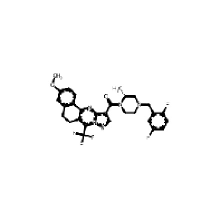 COc1ccc2c(c1)CCc1c-2nc2c(C(=O)N3CCN(Cc4cc(F)ccc4F)C[C@H]3C)cnn2c1C(F)(F)F